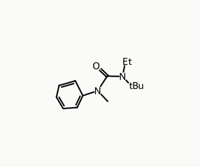 CCN(C(=O)N(C)c1ccccc1)C(C)(C)C